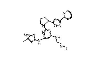 Cc1cc(Nc2cc(NCCN)nc(N3CCCC3c3cc(-c4ccccn4)no3)n2)n[nH]1